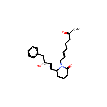 COC(=O)CCCC=CCN1C(=O)CCCC1/C=C/[C@H](O)Cc1ccccc1